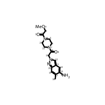 COCC(=O)N1CCN(C(=O)Cn2cc3cc(N)c(C)cc3n2)CC1